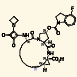 O=C1N[C@]2(C(=O)O)C[C@H]2/C=C\CCCCC[C@H](Nc2c(N3CCC3)c(=O)c2=O)C(=O)N2C[C@H](OC(=O)N3CCc4c(F)cccc43)C[C@@H]12